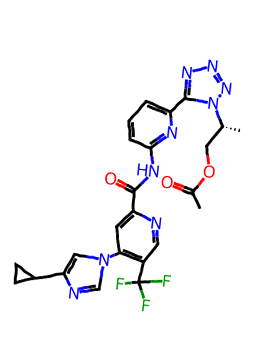 CC(=O)OC[C@@H](C)n1nnnc1-c1cccc(NC(=O)c2cc(-n3cnc(C4CC4)c3)c(C(F)(F)F)cn2)n1